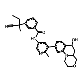 CCC(C)(C#N)c1cccc(C(=O)Nc2cnc(C)c(-c3ccc4c(c3)N3CCOCC3CC4O)c2)c1